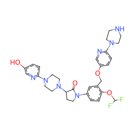 O=C1C(N2CCN(c3ccc(O)cn3)CC2)CCN1c1ccc(OC(F)F)c(COc2ccc(N3CCNCC3)nc2)c1